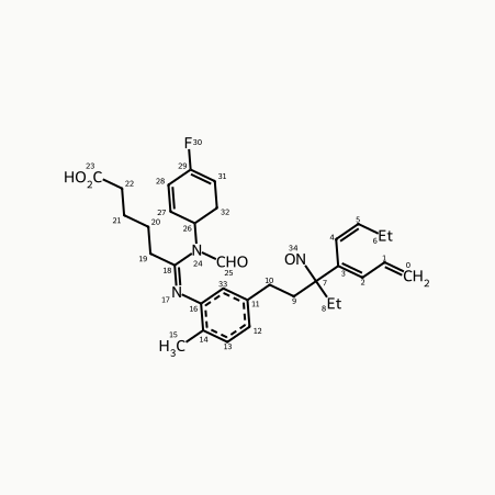 C=C/C=C(\C=C/CC)C(CC)(CCc1ccc(C)c(/N=C(/CCCCC(=O)O)N(C=O)C2C=CC(F)=CC2)c1)N=O